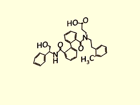 Cc1ccccc1CCN(CCC(=O)O)C(=O)c1ccccc1-c1ccccc1C(=O)N[C@H](CO)c1ccccc1